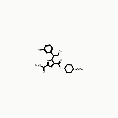 CNC(=O)c1cc(C(=O)N[C@H]2CC[C@H](OC)CC2)n(C(CO)c2cccc(Cl)c2)n1